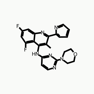 Cc1c(-c2ccccn2)nc2cc(F)cc(F)c2c1Nc1ccnc(N2CCOCC2)n1